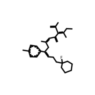 C=C(C)/C(C(=C)/C=C(/C)C/C(=C\CCC1(F)CCCCC1)c1ccc(C)cc1)=C(/C)CC